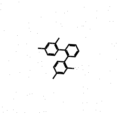 Cc1ccc(-c2[c]cccc2-c2ccc(C)cc2C)c(C)c1